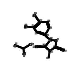 ClC(Cl)Cl.Cn1c(=O)on(-c2ccc(Cl)c(Cl)c2)c1=O